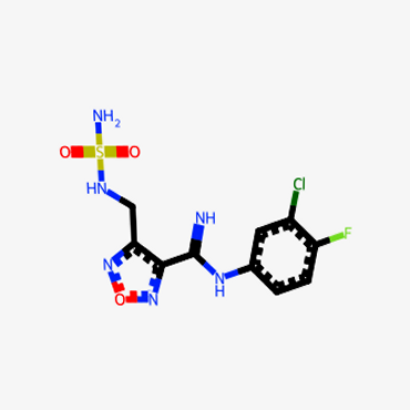 N=C(Nc1ccc(F)c(Cl)c1)c1nonc1CNS(N)(=O)=O